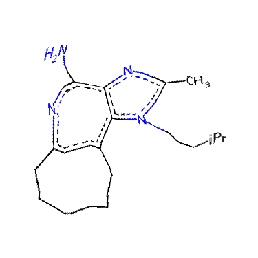 Cc1nc2c(N)nc3c(c2n1CC(C)C)CCCCC3